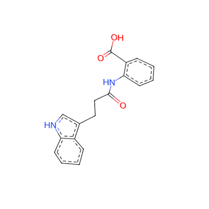 O=C(CCc1c[nH]c2ccccc12)Nc1ccccc1C(=O)O